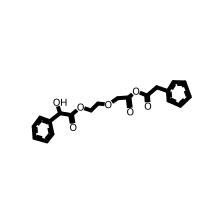 O=C(COCCOC(=O)C(O)c1ccccc1)OC(=O)Cc1ccccc1